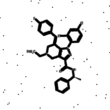 CCOC(=O)CN1C/C(=C\c2ccc(F)cc2)c2c(c(C(=O)N[C@H](C)c3ccccc3)nn2-c2ccc(Cl)cc2Cl)C1